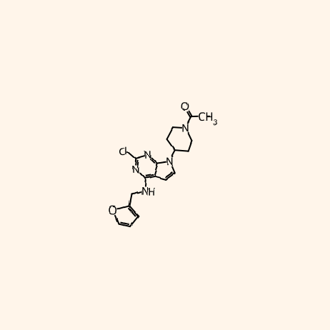 CC(=O)N1CCC(n2ccc3c(NCc4ccco4)nc(Cl)nc32)CC1